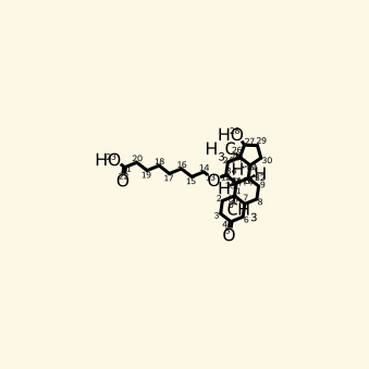 C[C@]12CCC(=O)CC1CC[C@@H]1[C@H]2C(OCCCCCCCC(=O)O)C[C@]2(C)C(O)CC[C@@H]12